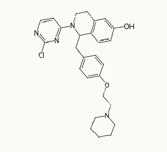 Oc1ccc2c(c1)CCN(c1ccnc(Cl)n1)C2Cc1ccc(OCCN2CCCCC2)cc1